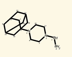 BBN1CCN(C23CC4CC(CC(C4)C2)C3)CC1